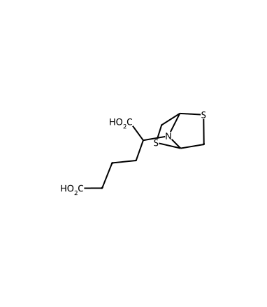 O=C(O)CCCC(C(=O)O)N1C2CSC1CS2